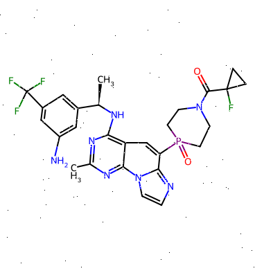 Cc1nc(N[C@H](C)c2cc(N)cc(C(F)(F)F)c2)c2cc(P3(=O)CCN(C(=O)C4(F)CC4)CC3)c3nccn3c2n1